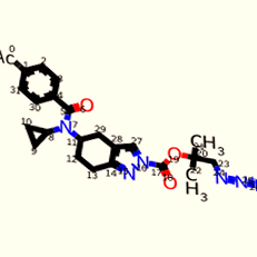 CC(=O)c1ccc(C(=O)N(C2CC2)C2CCc3nn(C(=O)OC(C)(C)CN=[N+]=[N-])cc3C2)cc1